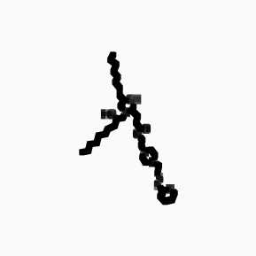 CCCCCCCCC(O)CN(CC(O)CCCCCCCC)C(C)CCC(=O)OCCN1CCN(CCSSc2ccccn2)CC1